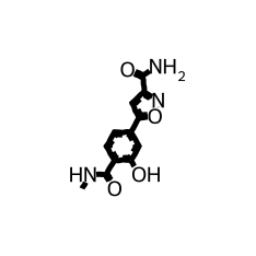 CNC(=O)c1ccc(-c2cc(C(N)=O)no2)cc1O